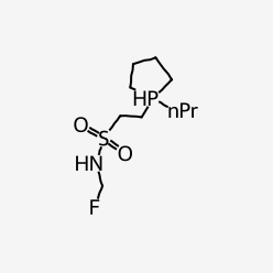 CCC[PH]1(CCS(=O)(=O)NCF)CCCC1